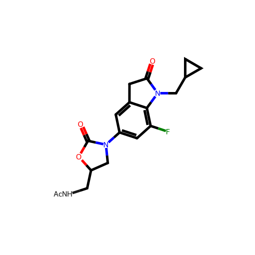 CC(=O)NCC1CN(c2cc(F)c3c(c2)CC(=O)N3CC2CC2)C(=O)O1